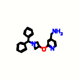 NCc1ccnc(OC2CN(C(c3ccccc3)c3ccccc3)C2)c1